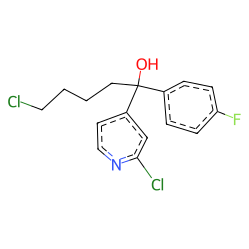 OC(CCCCCl)(c1ccc(F)cc1)c1ccnc(Cl)c1